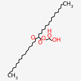 CCCCCCCCCCCCCCCCCC(=O)C(CCCCCCCCCCCCCCCC)C(=O)OCC(O)CO